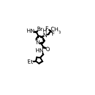 CCC1CCC(CNC(=O)c2cc(NCC(C)(F)F)c(C(=N)Br)cn2)C1